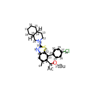 CC(=O)[C@@H](OC(C)(C)C)c1c(C)cc2nc(N3CC[C@@H]4CCCC[C@@H]4C3)sc2c1-c1ccc(Cl)cc1